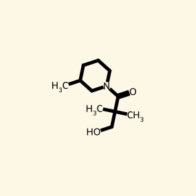 CC1CCCN(C(=O)C(C)(C)CO)C1